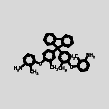 Cc1cc(C2(c3ccc(Oc4cccc(N)c4C)c(C)c3)c3ccccc3-c3ccccc32)ccc1Oc1cccc(N)c1C